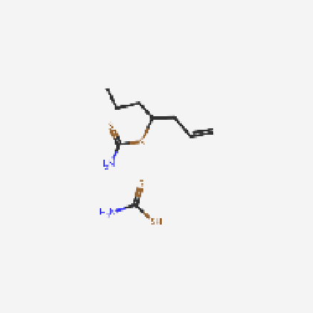 C=CCC(CCC)SC(N)=S.NC(=S)S